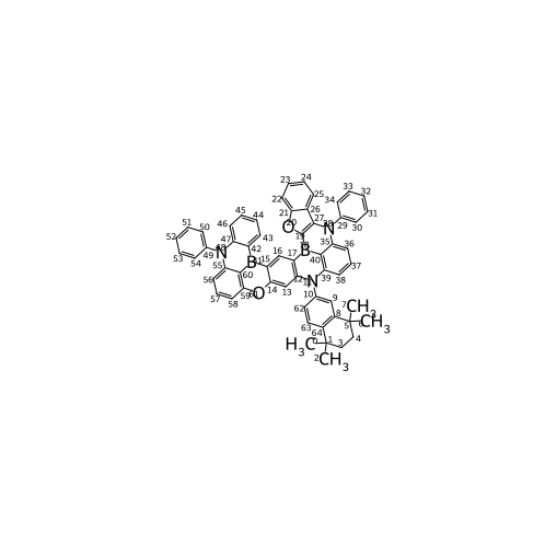 CC1(C)CCC(C)(C)c2cc(N3c4cc5c(cc4B4c6oc7ccccc7c6N(c6ccccc6)c6cccc3c64)B3c4ccccc4N(c4ccccc4)c4cccc(c43)O5)ccc21